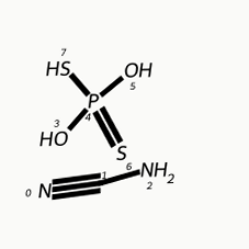 N#CN.OP(O)(=S)S